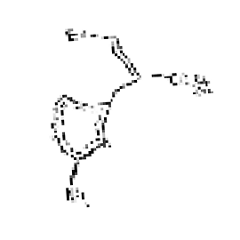 CC/C=C(/C(=O)OCC)c1csc(N)n1